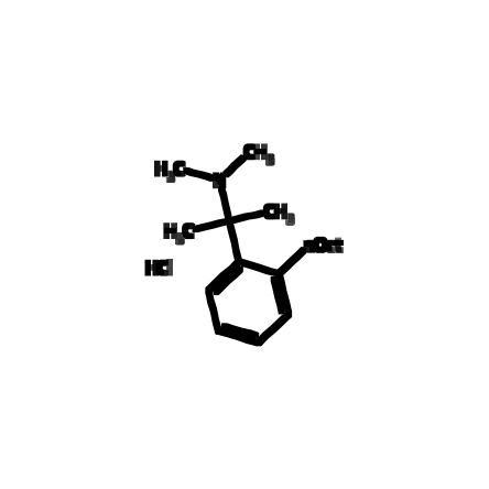 CCCCCCCCc1ccccc1C(C)(C)N(C)C.Cl